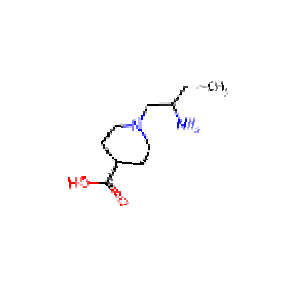 CCC(N)CN1CCC(C(=O)O)CC1